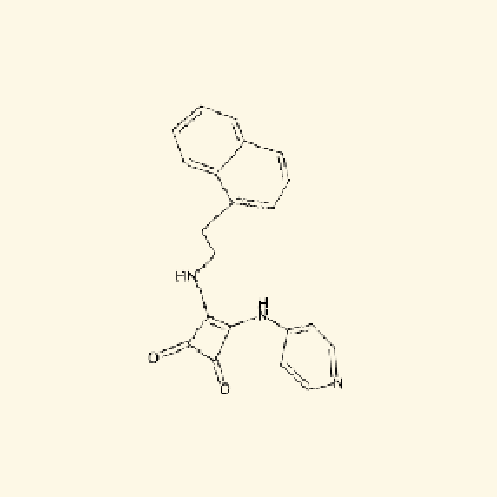 O=c1c(NCCc2cccc3ccccc23)c(Nc2ccncc2)c1=O